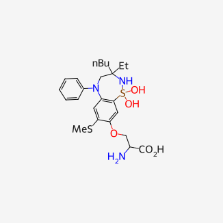 CCCCC1(CC)CN(c2ccccc2)c2cc(SC)c(OCC(N)C(=O)O)cc2S(O)(O)N1